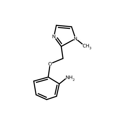 Cn1ccnc1COc1ccccc1N